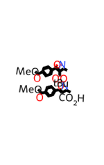 COC(=O)c1ccc(-c2onc(C)c2C(=O)O)cc1.COC(=O)c1ccc(-c2onc(C)c2C(=O)OC(C)(C)C)cc1